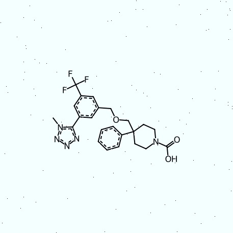 Cn1nnnc1-c1cc(COCC2(c3ccccc3)CCN(C(=O)O)CC2)cc(C(F)(F)F)c1